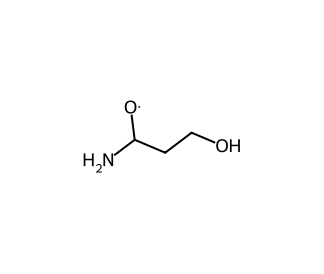 NC([O])CCO